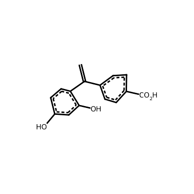 C=C(c1ccc(C(=O)O)cc1)c1ccc(O)cc1O